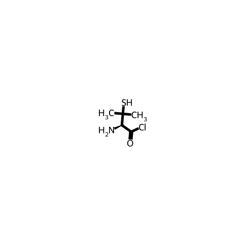 CC(C)(S)[C@H](N)C(=O)Cl